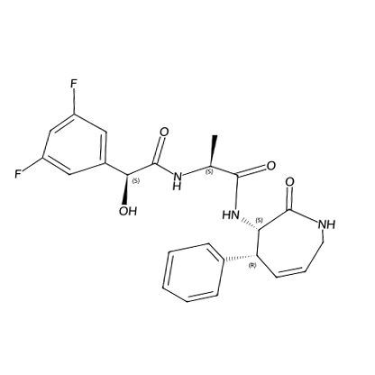 C[C@H](NC(=O)[C@@H](O)c1cc(F)cc(F)c1)C(=O)N[C@@H]1C(=O)NCC=C[C@@H]1c1ccccc1